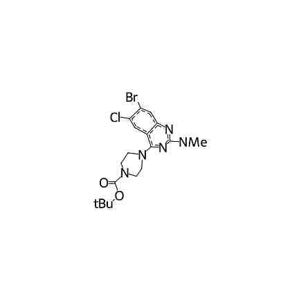 CNc1nc(N2CCN(C(=O)OC(C)(C)C)CC2)c2cc(Cl)c(Br)cc2n1